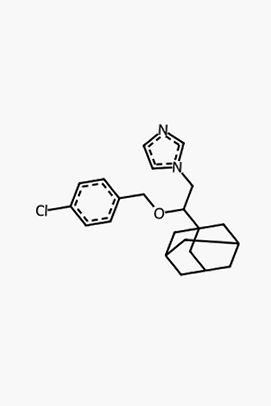 Clc1ccc(COC(Cn2ccnc2)C23CC4CC(CC(C4)C2)C3)cc1